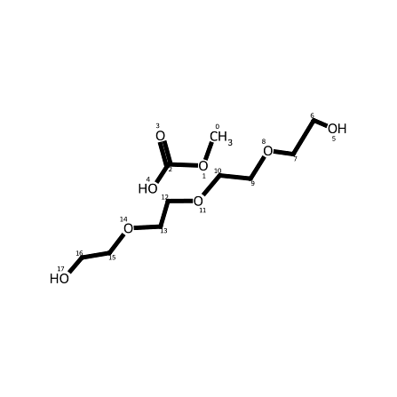 COC(=O)O.OCCOCCOCCOCCO